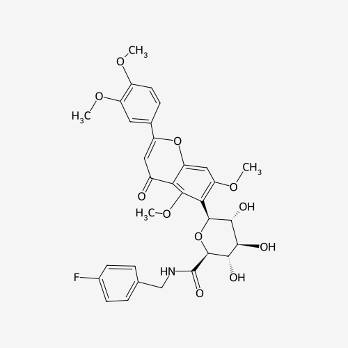 COc1ccc(-c2cc(=O)c3c(OC)c([C@@H]4O[C@H](C(=O)NCc5ccc(F)cc5)[C@@H](O)[C@H](O)[C@H]4O)c(OC)cc3o2)cc1OC